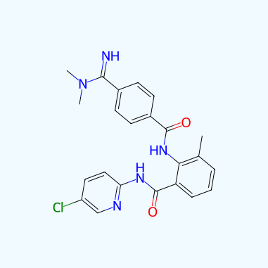 Cc1cccc(C(=O)Nc2ccc(Cl)cn2)c1NC(=O)c1ccc(C(=N)N(C)C)cc1